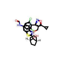 O=CNc1cc(F)c2nc([C@]3(O)[C@@H]4CC[C@H]3C[C@H](OCc3c(-c5c(Cl)cccc5Cl)noc3C3CC3)C4)sc2c1